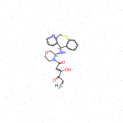 C=CC(=O)/C(O)=C/C(=O)N1CCOC[C@H]1N[C@@H]1c2ccccc2SCc2ncccc21